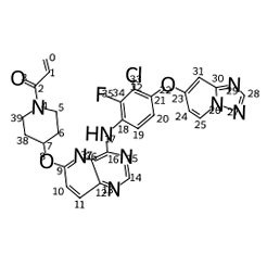 C=CC(=O)N1CCC(Oc2ccc3ncnc(Nc4ccc(Oc5ccn6ncnc6c5)c(Cl)c4F)c3n2)CC1